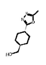 Cc1nnc([C@H]2CC[C@H](CO)CC2)o1